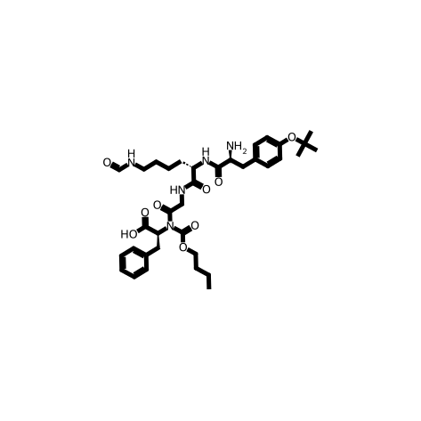 CCCCOC(=O)N(C(=O)CNC(=O)[C@H](CCCCNC=O)NC(=O)[C@@H](N)Cc1ccc(OC(C)(C)C)cc1)[C@@H](Cc1ccccc1)C(=O)O